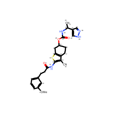 COc1cccc(CCC(=O)Nc2sc3c(c2C#N)CCC(OC(=O)NC(C)c2cn[nH]c2)C3)c1